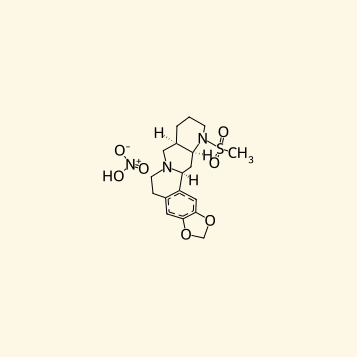 CS(=O)(=O)N1CCC[C@@H]2CN3CCc4cc5c(cc4[C@@H]3C[C@@H]21)OCO5.O=[N+]([O-])O